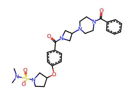 CN(C)S(=O)(=O)N1CCC(Oc2ccc(C(=O)N3CC(N4CCN(C(=O)c5ccccc5)CC4)C3)cc2)C1